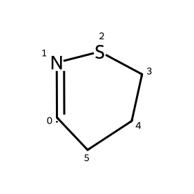 [C]1=NSCCC1